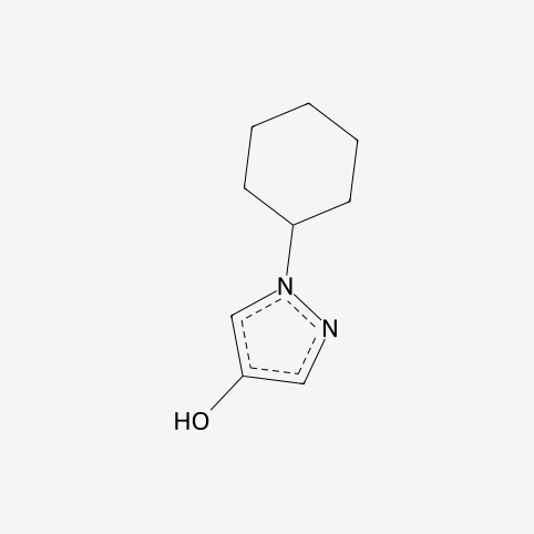 Oc1cnn(C2CCCCC2)c1